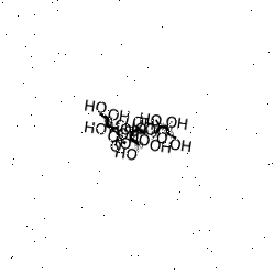 O=C[C@H](OP(=O)(O)O[C@H]1[C@H](O)[C@@H](O)[C@@H](O[C@]2(CO)O[C@H](CO)[C@@H](O)[C@@H]2O)O[C@@H]1CO)[C@@H](O)[C@@H](O)CO